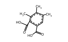 Cc1cc(C(=O)O)c(C(=O)O)c(C)c1C